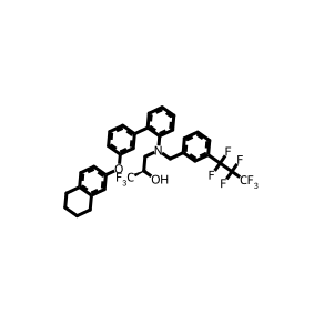 O[C@H](CN(Cc1cccc(C(F)(F)C(F)(F)C(F)(F)F)c1)c1ccccc1-c1cccc(Oc2ccc3c(c2)CCCC3)c1)C(F)(F)F